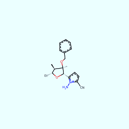 CC[C@H]1O[C@@H](c2ccc(C#N)n2N)[C@](C)(OCc2ccccc2)[C@@H]1C